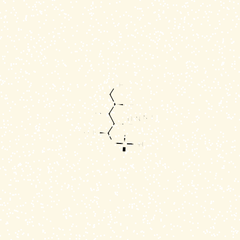 N.N.O=C[C@H](OP(=O)(O)O)[C@@H](O)[C@H](O)[C@H](O)CO